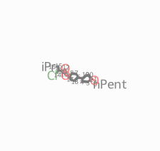 CCCCCOc1ccc(-c2ccc(OC(=O)C(Cl)CC(C)C)cc2)cc1